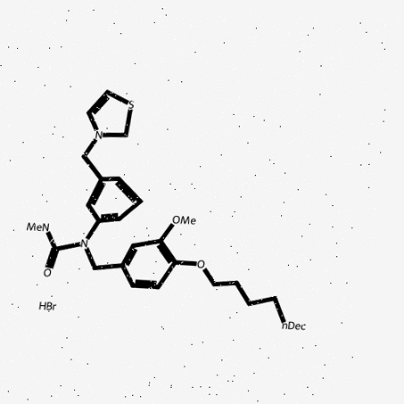 Br.CCCCCCCCCCCCCCOc1ccc(CN(C(=O)NC)c2cccc(CN3C=CSC3)c2)cc1OC